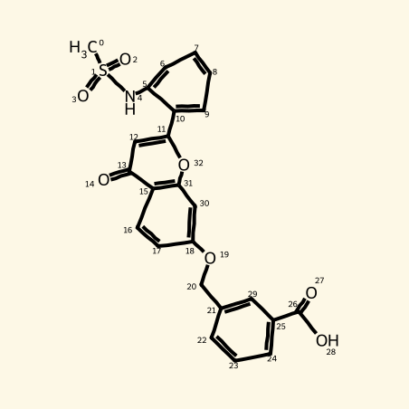 CS(=O)(=O)Nc1ccccc1-c1cc(=O)c2ccc(OCc3cccc(C(=O)O)c3)cc2o1